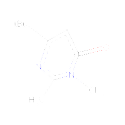 Cc1nc(C(C)(C)C)cc(=O)n1C